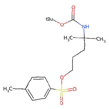 Cc1ccc(S(=O)(=O)OCCCC(C)(C)NC(=O)OC(C)(C)C)cc1